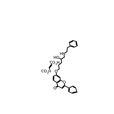 O=C(O)C=CC(=O)O.O=c1cc(-c2ccccc2)oc2cc(OCCCC(O)CNCCc3ccccc3)ccc12